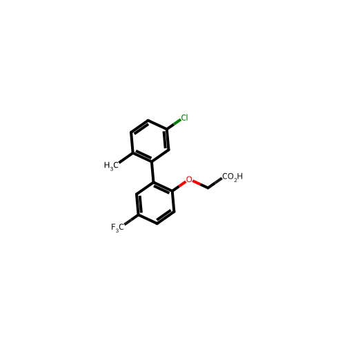 Cc1ccc(Cl)cc1-c1cc(C(F)(F)F)ccc1OCC(=O)O